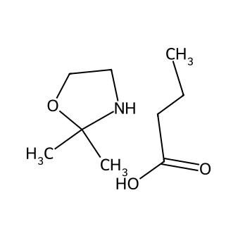 CC1(C)NCCO1.CCCC(=O)O